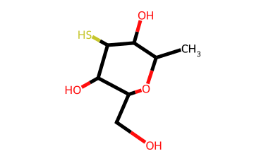 CC1OC(CO)C(O)C(S)C1O